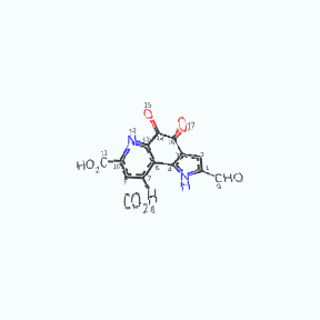 O=Cc1cc2c([nH]1)-c1c(C(=O)O)cc(C(=O)O)nc1C(=O)C2=O